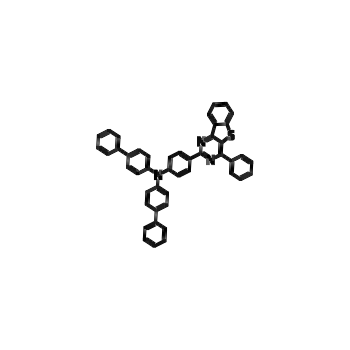 c1ccc(-c2ccc(N(c3ccc(-c4ccccc4)cc3)c3ccc(-c4nc(-c5ccccc5)c5sc6ccccc6c5n4)cc3)cc2)cc1